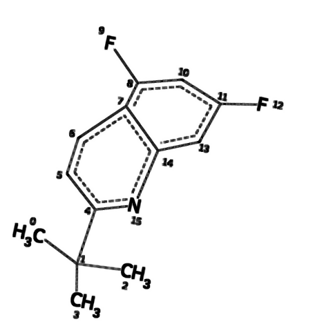 CC(C)(C)c1ccc2c(F)cc(F)cc2n1